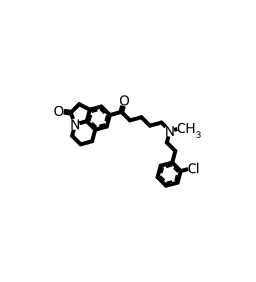 CN(CCCCC(=O)c1cc2c3c(c1)CC(=O)N3CCC2)CCc1ccccc1Cl